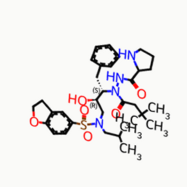 CC(C)CN(C[C@@H](O)[C@H](Cc1ccccc1)N(NC(=O)C1CCCN1)C(=O)CC(C)(C)C)S(=O)(=O)c1ccc2c(c1)CCO2